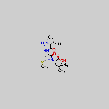 CC[C@H](C)[C@H](N)C(=O)N[C@@H](CCSC)C(=O)N[C@@H](CC(C)C)C(=O)O